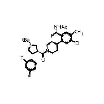 CC(=O)N[C@@H](I)c1cc(C)c(Cl)cc1C1CCN(C(=O)[C@@H]2CN(C(C)(C)C)C[C@H]2c2ccc(F)cc2F)CC1